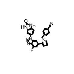 N#Cc1ccc(Cn2cccc2-c2cc(F)c3nnn(-c4ccc5[nH]c(=O)[nH]c5c4)c3c2)cc1